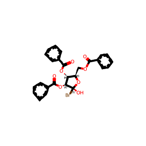 O=C(OC[C@H]1O[C@](O)(Br)[C@H](OC(=O)c2ccccc2)[C@@H]1OC(=O)c1ccccc1)c1ccccc1